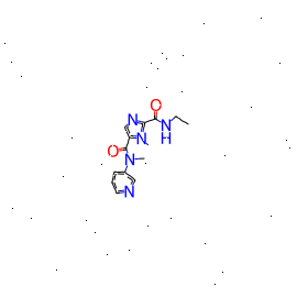 CCNC(=O)c1ncc(C(=O)N(C)c2cccnc2)n1C